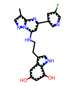 Cc1cnn2c(NCCc3c[nH]c4c(O)cc(O)cc34)cc(-c3cncc(F)c3)nc12